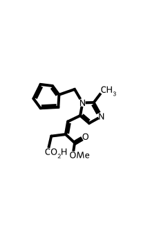 COC(=O)/C(=C\c1cnc(C)n1Cc1ccccc1)CC(=O)O